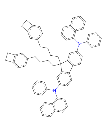 c1ccc(N(c2ccc3c(c2)C(CCCCc2ccc4c(c2)CC4)(CCCCc2ccc4c(c2)CC4)c2cc(N(c4ccccc4)c4cccc5ccccc45)ccc2-3)c2cccc3ccccc23)cc1